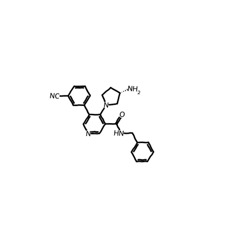 N#Cc1cccc(-c2cncc(C(=O)NCc3ccccc3)c2N2CC[C@H](N)C2)c1